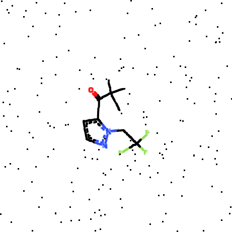 CC(C)(C)C(=O)c1ccnn1CC(F)(F)F